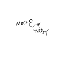 COC(=O)CC(C[C@@H](C)CCC=C(C)C)C[N+](=O)[O-]